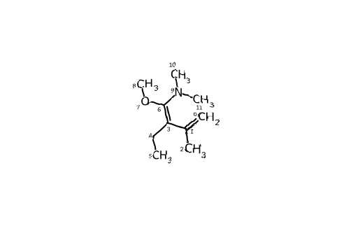 C=C(C)/C(CC)=C(/OC)N(C)C